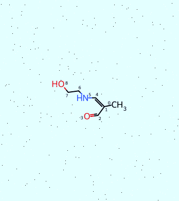 CC(C=O)=CNCCO